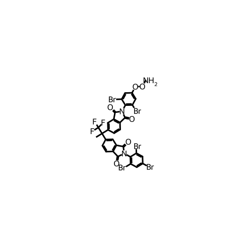 CC(c1ccc2c(c1)C(=O)N(c1c(Br)cc(Br)cc1Br)C2=O)(c1ccc2c(c1)C(=O)N(c1c(Br)cc(OON)cc1Br)C2=O)C(F)(F)F